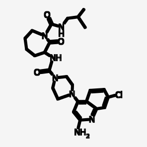 CC(C)CNC(=O)N1CCCCC(NC(=O)N2CCN(c3cc(N)nc4cc(Cl)ccc34)CC2)C1=O